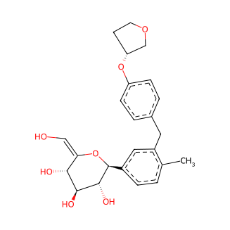 Cc1ccc([C@@H]2O/C(=C/O)[C@@H](O)[C@H](O)[C@H]2O)cc1Cc1ccc(O[C@@H]2CCOC2)cc1